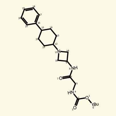 CC(C)(C)OC(=O)NCC(=O)NC1CN(C2CCC(c3ccccc3)CC2)C1